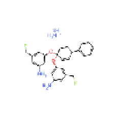 N.N.Nc1cc(CF)cc(OC2(Oc3cc(N)cc(CF)c3)C=CC(c3ccccc3)C=C2)c1